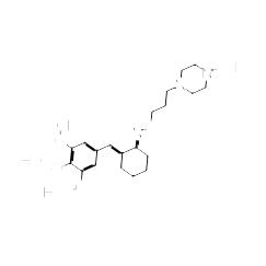 COc1cc(C=C2CCCCC2=NOCCCN2CCN(C)CC2)cc(OC)c1OC